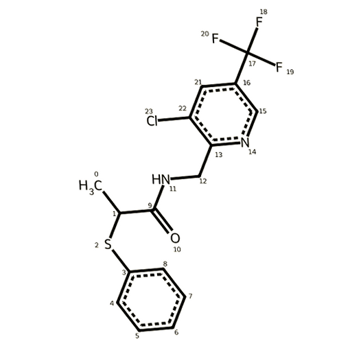 CC(Sc1ccccc1)C(=O)NCc1ncc(C(F)(F)F)cc1Cl